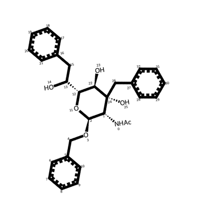 CC(=O)N[C@@H]1[C@@H](OCc2ccccc2)O[C@H](C(O)Cc2ccccc2)[C@@H](O)[C@@]1(O)Cc1ccccc1